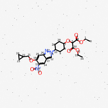 CCOC(=O)C(OC1CCC(n2cc3cc([N+](=O)[O-])c(OCC4CC4)cc3n2)CC1)C(=O)OCC